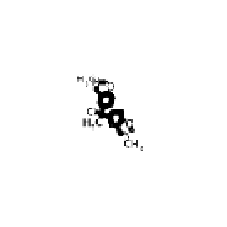 CN1COc2ccc(C(C)(Cl)c3ccc4c(c3)CN(C)CO4)cc2C1